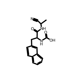 CC(C#N)NC(=O)C(Cc1ccc2ccccc2c1)NC(=O)O